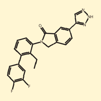 CCc1c(-c2ccc(F)c(F)c2)cccc1N1Cc2ccc(-c3cn[nH]n3)cc2C1=O